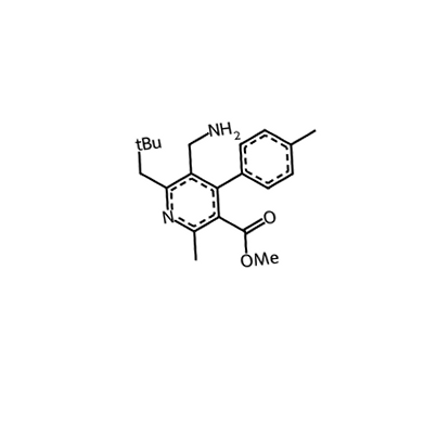 COC(=O)c1c(C)nc(CC(C)(C)C)c(CN)c1-c1ccc(C)cc1